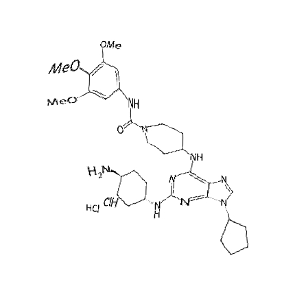 COc1cc(NC(=O)N2CCC(Nc3nc(N[C@H]4CC[C@H](N)CC4)nc4c3ncn4C3CCCC3)CC2)cc(OC)c1OC.Cl.Cl